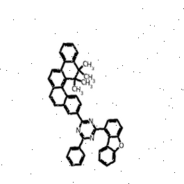 CC1(C)c2ccccc2-c2ccc3ccc4cc(-c5nc(-c6ccccc6)nc(-c6cccc7oc8ccccc8c67)n5)ccc4c3c2C1(C)C